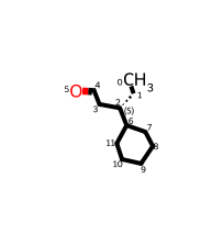 CC[C@@H](CC=O)C1CCCCC1